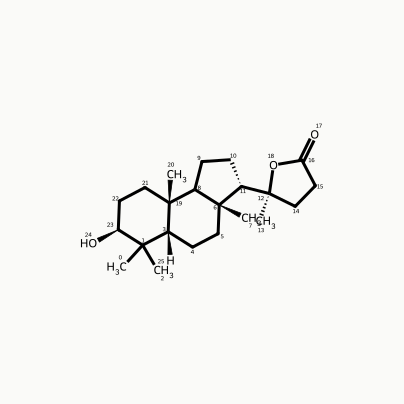 CC1(C)[C@H]2CC[C@]3(C)C(CC[C@@H]3[C@]3(C)CCC(=O)O3)[C@@]2(C)CC[C@@H]1O